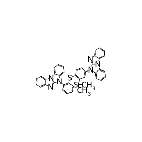 C[Si]1(C)c2cc(-n3c4ccccc4n4c5ccccc5nc34)ccc2Sc2c(-n3c4ccccc4n4c5ccccc5nc34)cccc21